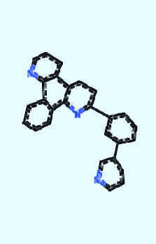 c1cncc(-c2cccc(-c3ccc4c5cccnc5c5ccccc5c4n3)c2)c1